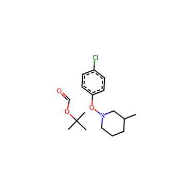 CC(C)(C)OC=O.CC1CCCN(Oc2ccc(Cl)cc2)C1